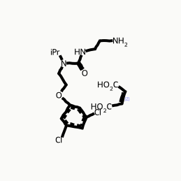 CC(C)N(CCOc1cc(Cl)cc(Cl)c1)C(=O)NCCN.O=C(O)/C=C\C(=O)O